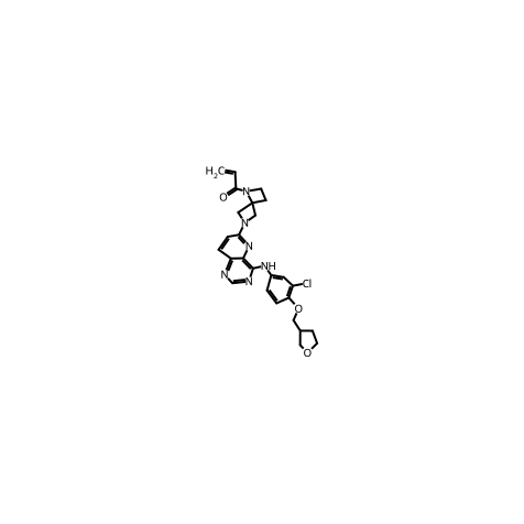 C=CC(=O)N1CCC12CN(c1ccc3ncnc(Nc4ccc(OCC5CCOC5)c(Cl)c4)c3n1)C2